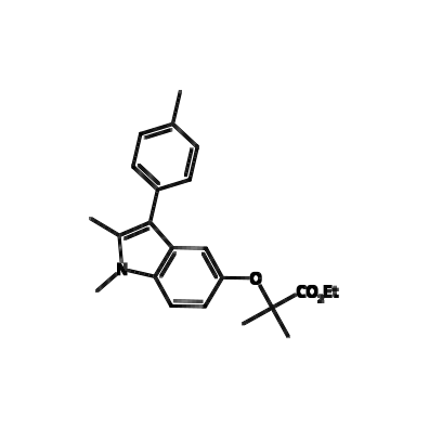 CCOC(=O)C(C)(C)Oc1ccc2c(c1)c(-c1ccc(C)cc1)c(C)n2C